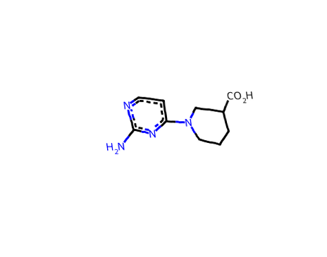 Nc1nccc(N2CCCC(C(=O)O)C2)n1